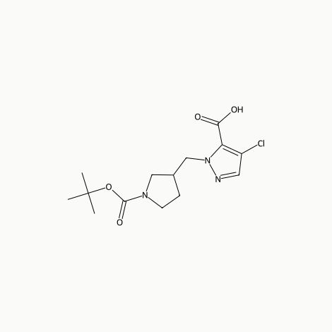 CC(C)(C)OC(=O)N1CCC(Cn2ncc(Cl)c2C(=O)O)C1